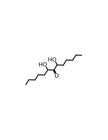 CCCCCC(O)C(=O)C(O)CCCCC